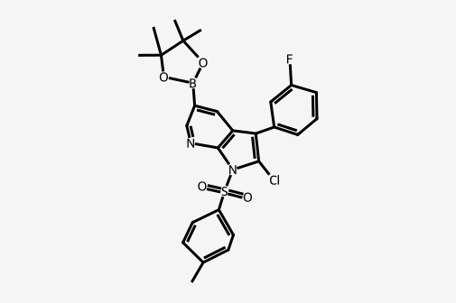 Cc1ccc(S(=O)(=O)n2c(Cl)c(-c3cccc(F)c3)c3cc(B4OC(C)(C)C(C)(C)O4)cnc32)cc1